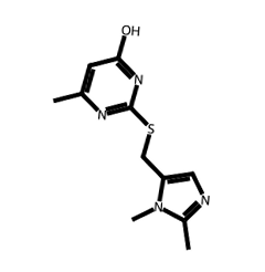 Cc1cc(O)nc(SCc2cnc(C)n2C)n1